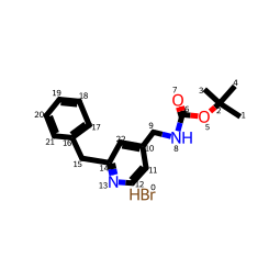 Br.CC(C)(C)OC(=O)NCc1ccnc(Cc2ccccc2)c1